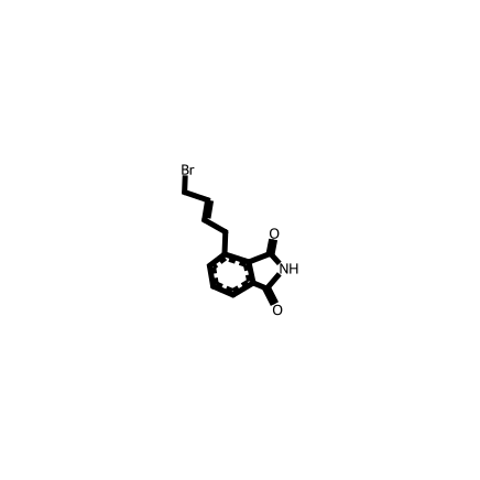 O=C1NC(=O)c2c(CC=CCBr)cccc21